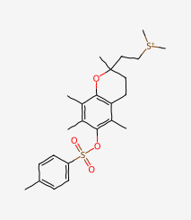 Cc1ccc(S(=O)(=O)Oc2c(C)c(C)c3c(c2C)CCC(C)(CC[S+](C)C)O3)cc1